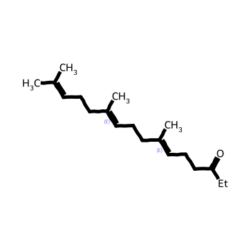 CCC(=O)CC/C=C(\C)CC/C=C(\C)CCC=C(C)C